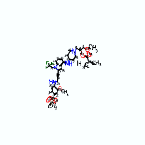 COC[C@H](CN1CCC(Nc2cccc3c2cc(C#CCNc2ccc(S(C)(=O)=O)cc2OC)n3CC(F)(F)F)CC1)OC(=O)C(C)C